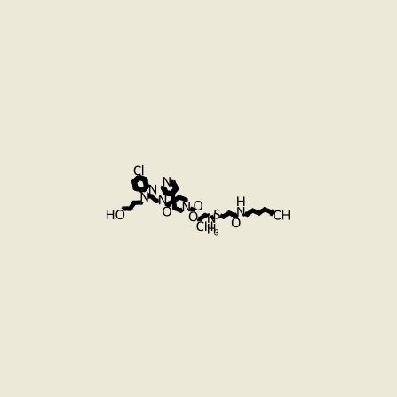 C#CCCCCNC(=O)CCSNCC(C)OC(=O)N1CCC2(CC1)C(=O)N(Cc1nc3cc(Cl)ccc3n1CCCCO)c1cnccc12